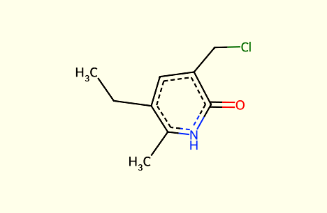 CCc1cc(CCl)c(=O)[nH]c1C